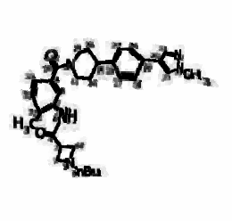 CCCCN1CC(C(=O)Nc2cc(C(=O)N3CCC(c4ccc(-c5cnn(C)c5)cc4)CC3)ccc2C)C1